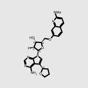 CNc1ccc2ccc(OC[C@H]3O[C@@H](n4cc([C@H]5CCCO5)c5c(N)ncnc54)[C@@H](F)[C@@H]3O)cc2n1